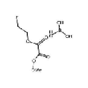 COOC(=O)C(=O)OCCF.OB(O)O